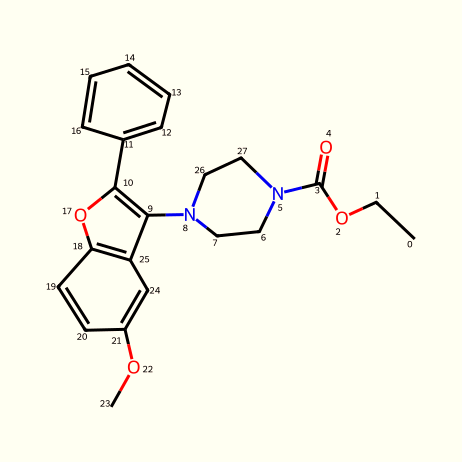 CCOC(=O)N1CCN(c2c(-c3ccccc3)oc3ccc(OC)cc23)CC1